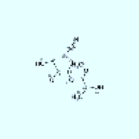 COC(OC(CN=[N+]=[N-])C(O)CO)C(C)O